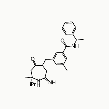 Cc1cc(CC2CC(=N)N[C@](C)(C(C)C)CC2=O)cc(C(=O)N[C@H](C)c2ccccc2)c1